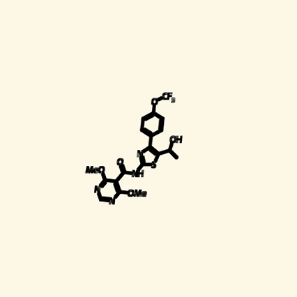 COc1ncnc(OC)c1C(=O)Nc1nc(-c2ccc(OC(F)(F)F)cc2)c(C(C)O)s1